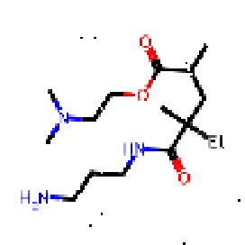 CCC(C)(CC(C)C(=O)OCCN(C)C)C(=O)NCCCN